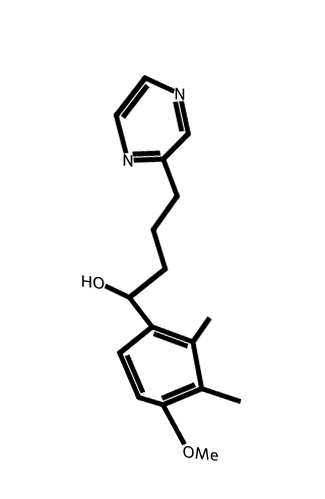 COc1ccc(C(O)CCCc2cnccn2)c(C)c1C